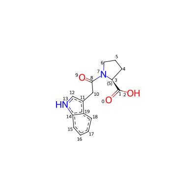 O=C(O)[C@@H]1CCCN1C(=O)Cc1c[nH]c2ccccc12